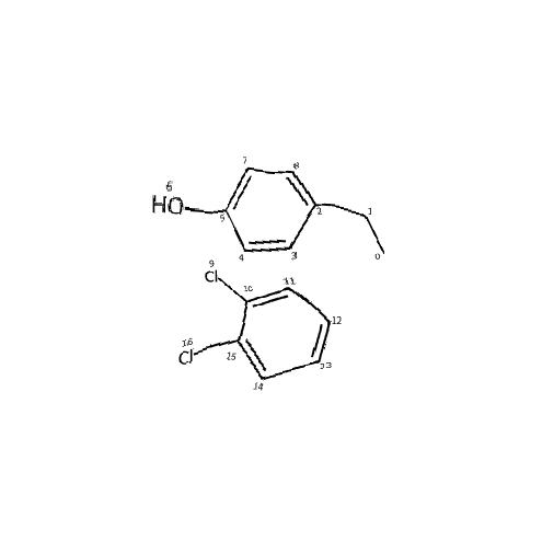 CCc1ccc(O)cc1.Clc1ccccc1Cl